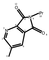 Cc1cnc2c(c1)C(=O)N(C(C)C)C2=O